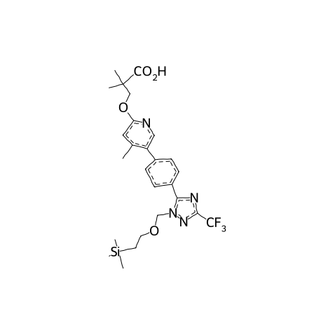 Cc1cc(OCC(C)(C)C(=O)O)ncc1-c1ccc(-c2nc(C(F)(F)F)nn2COCC[Si](C)(C)C)cc1